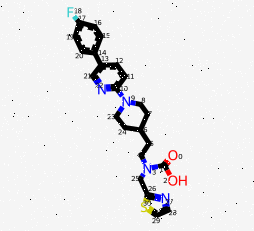 O=C(O)N(CCC1CCN(c2ccc(-c3ccc(F)cc3)cn2)CC1)Cc1nccs1